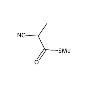 CSC(=O)C(C)C#N